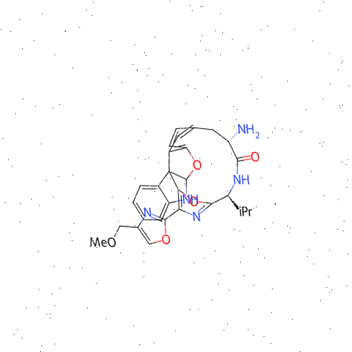 COCc1coc(-c2nc3oc2C24c5ccccc5NC2Oc2ccc(cc24)C[C@H](N)C(=O)N[C@H]3C(C)C)n1